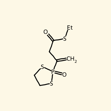 C=C(CC(=O)SCC)P1(=O)SCCS1